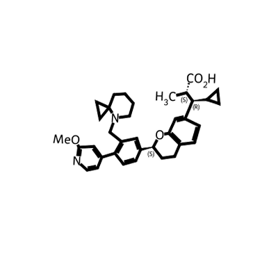 COc1cc(-c2ccc([C@@H]3CCc4ccc([C@H](C5CC5)[C@H](C)C(=O)O)cc4O3)cc2CN2CCCCC23CC3)ccn1